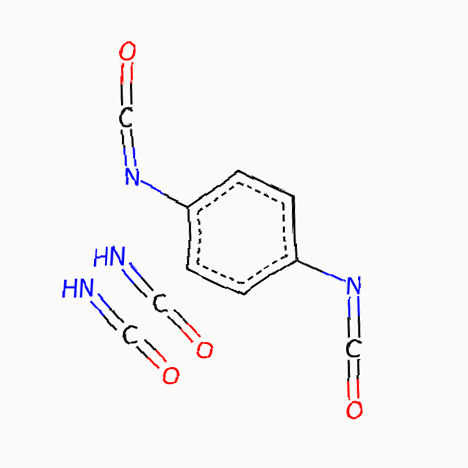 N=C=O.N=C=O.O=C=Nc1ccc(N=C=O)cc1